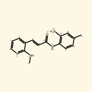 CNc1ncccc1/C=C/C(=O)Nc1ccc(C)cc1N